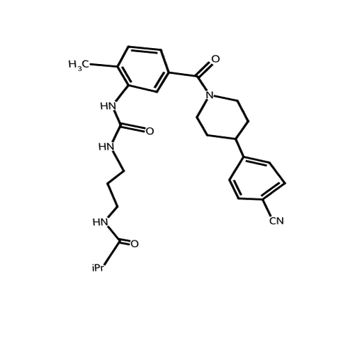 Cc1ccc(C(=O)N2CCC(c3ccc(C#N)cc3)CC2)cc1NC(=O)NCCCNC(=O)C(C)C